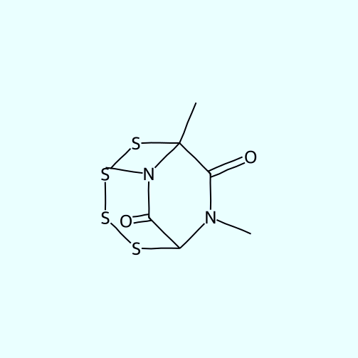 CN1C(=O)C2(C)SSSSC1C(=O)N2C